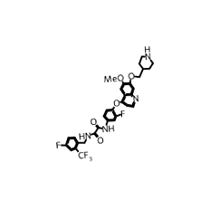 COc1cc2c(Oc3ccc(NC(=O)C(=O)NCc4ccc(F)cc4C(F)(F)F)cc3F)ccnc2cc1OCC1CCNCC1